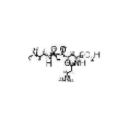 CN(C)CCNC(=O)[13CH2][S+]([O-])CC[C@H](NC(=O)CCN(C)C)C(=O)O